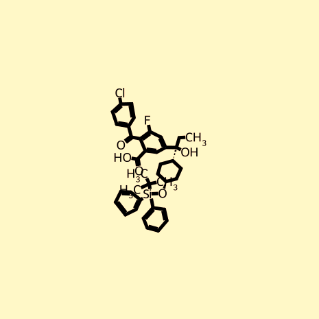 CCC(O)(c1cc(F)c(C(=O)c2ccc(Cl)cc2)c(C(=O)O)c1)[C@H]1CC[C@H](O[Si](c2ccccc2)(c2ccccc2)C(C)(C)C)CC1